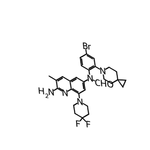 Cc1cc2cc(N(C=O)c3ccc(Br)cc3N3CCC4(CC3)CC4)cc(N3CCC(F)(F)CC3)c2nc1N